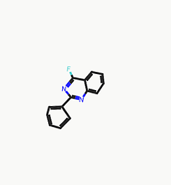 Fc1nc(-c2ccccc2)nc2ccccc12